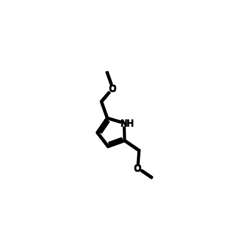 COCc1ccc(COC)[nH]1